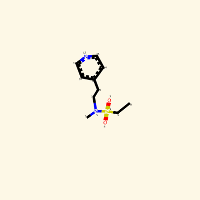 CCS(=O)(=O)N(C)CCc1ccncc1